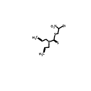 C=CCN(CC=C)C(=S)SCC(CC)[N+](=O)[O-]